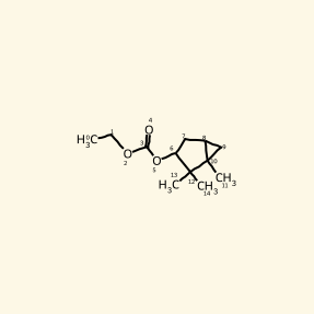 CCOC(=O)OC1CC2CC2(C)C1(C)C